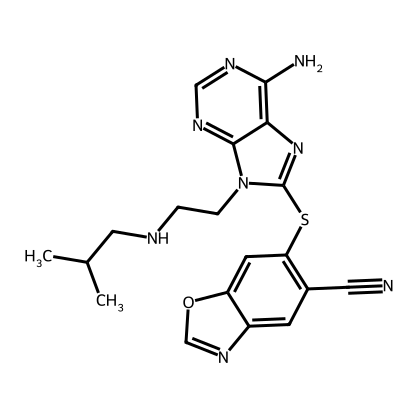 CC(C)CNCCn1c(Sc2cc3ocnc3cc2C#N)nc2c(N)ncnc21